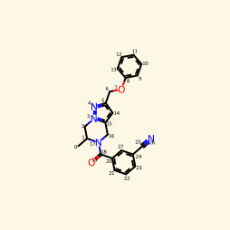 CC1Cn2nc(COc3ccccc3)cc2CN1C(=O)c1cccc(C#N)c1